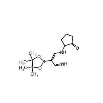 CC1(C)OB(/C(C=N)=C/NC2CCCC2=O)OC1(C)C